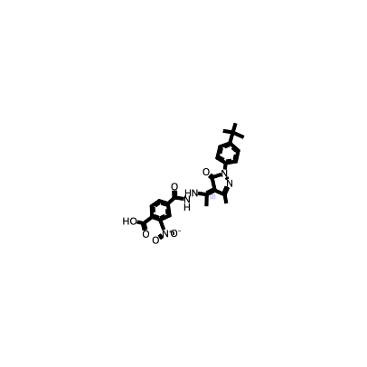 CC1=NN(c2ccc(C(C)(C)C)cc2)C(=O)/C1=C(/C)NNC(=O)c1ccc(C(=O)O)c([N+](=O)[O-])c1